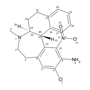 CN1CCc2cc(Cl)c(N)c([N+](=O)[O-])c2[C@H]2c3ccccc3CC[C@@H]21